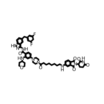 O=C1CCC(N2C(=O)c3ccc(NCCCCCCCC(=O)N4CCN(c5ccc(C(=O)Nc6n[nH]c7ccc(CC8=CC(F)CC(F)=C8)cc67)c(NC6CCOCC6)c5)CC4)cc3C2=O)C(=O)N1